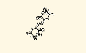 CC(C#N)CC(/N=N/C(CC(C)C#N)C(=O)O)C(=O)O